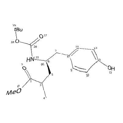 COC(=O)C(C)C[C@H](Cc1ccc(O)cc1)NC(=O)OC(C)(C)C